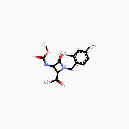 COC(=O)C1C(NC(=O)OC(C)(C)C)C(=O)N1Cc1ccc(OC)cc1OC